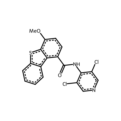 COc1ccc(C(=O)Nc2c(Cl)cncc2Cl)c2c1sc1ccccc12